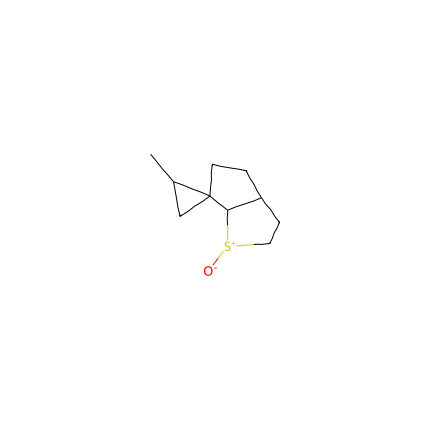 CC1CC12CCC1CC[S+]([O-])C12